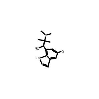 CN(C)C(C)(C)C(O)c1cc(Cl)cc2cn[nH]c12